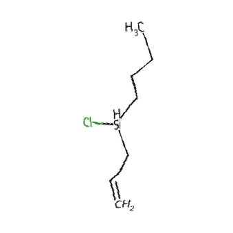 C=CC[SiH](Cl)CCCC